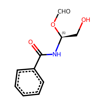 O=CO[C@@H](CO)NC(=O)c1ccccc1